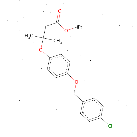 CC(C)OC(=O)CC(C)(C)Oc1ccc(OCc2ccc(Cl)cc2)cc1